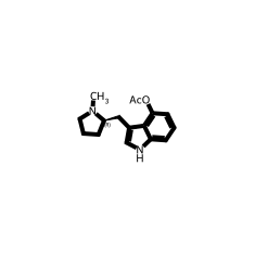 CC(=O)Oc1cccc2[nH]cc(C[C@H]3CCCN3C)c12